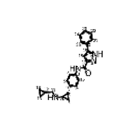 O=C(Nc1ccc([C@@H]2C[C@H]2NCC2CC2)cc1)c1cc(-c2ccccc2)[nH]n1